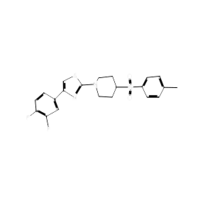 Cc1ccc(S(=O)(=O)C2CCN(c3nc(-c4ccc(F)c(F)c4)cs3)CC2)cc1